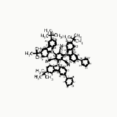 CC(C)(C)c1ccc2c(c1)c1cc(-c3ccccc3)ccc1n2-c1c(C#N)c(-n2c3ccc(-c4ccccc4)cc3c3cc(C(C)(C)C)ccc32)c(C#N)c(-n2c3ccc(C(C)(C)C)cc3c3cc(C(C)(C)C)ccc32)c1C#N